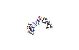 CC1CN(C2CN(C(=O)c3ccc(Cc4ccccc4)cc3)C2)CCN1C(=O)c1nccs1